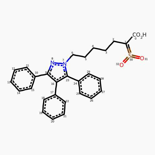 O=C(O)C(CCCCCn1nc(-c2ccccc2)c(-c2ccccc2)c1-c1ccccc1)=S(=O)=O